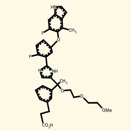 COCCOCCOC(C)(c1cccc(CCC(=O)O)c1)c1cnc(-c2cc(Oc3c(F)cc4[nH]ccc4c3C)ccc2F)[nH]1